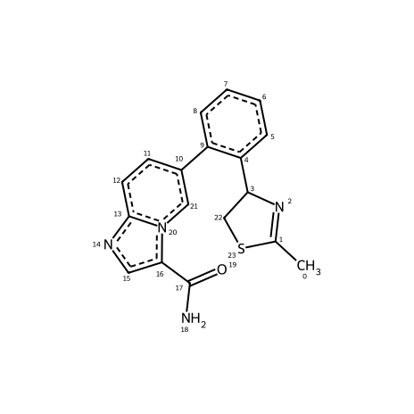 CC1=NC(c2ccccc2-c2ccc3ncc(C(N)=O)n3c2)CS1